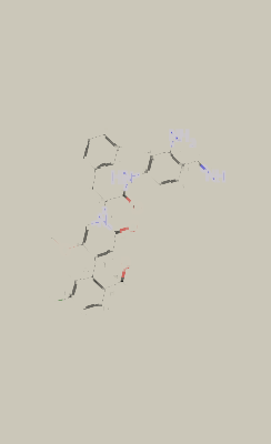 COc1cn(C(Cc2ccccc2)C(=O)Nc2ccc(C=N)c(N)c2)c(=O)cc1-c1cc(Cl)ccc1C(C)=O